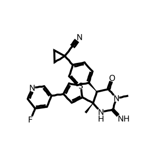 CN1C(=N)N[C@](C)(c2cc(-c3cncc(F)c3)cs2)[C@@H](c2ccc(C3(C#N)CC3)cc2)C1=O